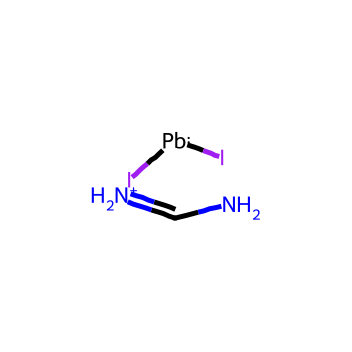 NC=[NH2+].[I][Pb][I]